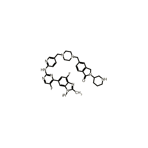 Cc1nc2c(F)cc(-c3nc(Nc4ccc(CN5CCN(Cc6ccc7c(c6)CN(C6CCCNC6)C7=O)CC5)cn4)ncc3F)cc2n1C(C)C